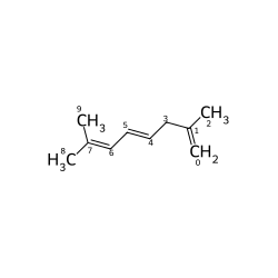 C=C(C)C/C=C/C=C(C)C